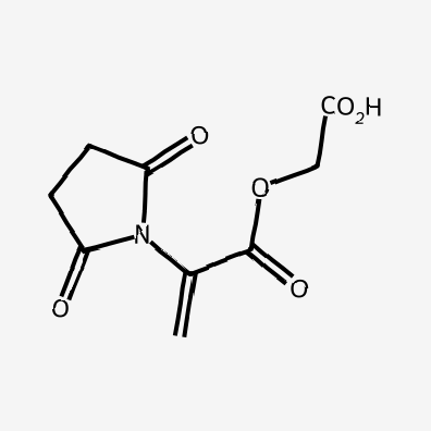 C=C(C(=O)OCC(=O)O)N1C(=O)CCC1=O